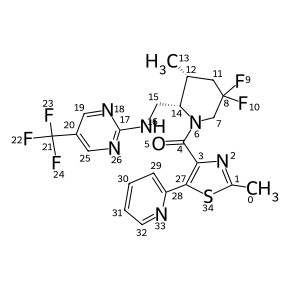 Cc1nc(C(=O)N2CC(F)(F)C[C@@H](C)[C@H]2CNc2ncc(C(F)(F)F)cn2)c(-c2ccccn2)s1